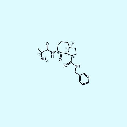 C[C@H](N)C(=O)N[C@H]1CCC[C@H]2CC[C@@H](C(=O)NCc3ccccc3)N2C1=O